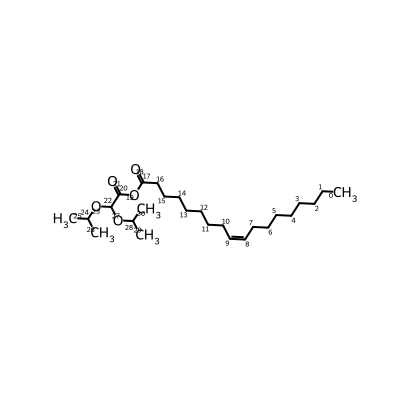 CCCCCCCC/C=C\CCCCCCCC(=O)OC(=O)C(OC(C)C)OC(C)C